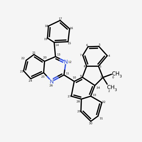 CC1(C)c2ccccc2-c2c(-c3nc(-c4ccccc4)c4ccccc4n3)cc3ccccc3c21